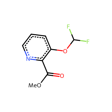 COC(=O)c1ncccc1OC(F)F